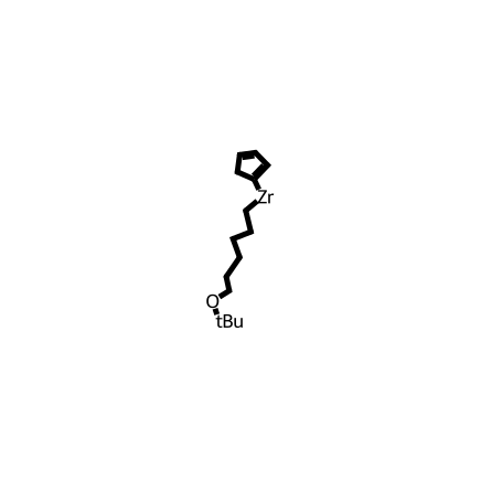 CC(C)(C)OCCCCC[CH2][Zr][C]1=CC=CC1